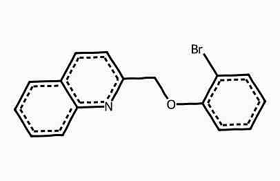 Brc1ccccc1OCc1ccc2ccccc2n1